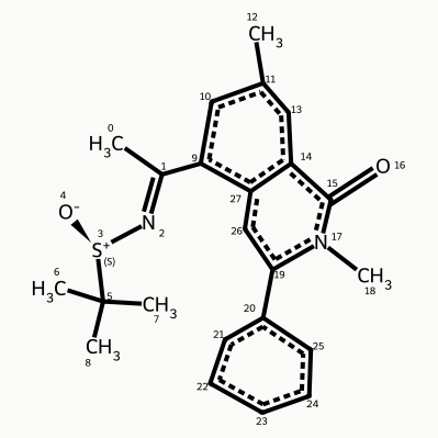 CC(=N[S@+]([O-])C(C)(C)C)c1cc(C)cc2c(=O)n(C)c(-c3ccccc3)cc12